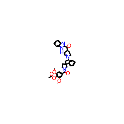 COc1cc(C(=O)N2CCC(CCN3CCC(C(=O)c4nc5ccccc5[nH]4)CC3)(c3ccccc3)C2)cc(OC)c1OC(C)=O